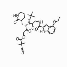 CCOc1cccc2[nH]c(C(=O)N[C@@H](CC(C)(C)C)C(=O)N[C@@H](C[C@@H]3CCCNC3=O)C(=O)COC(=O)C(C)(C)C#N)cc12